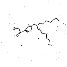 CCCCCCCCC(CCCCCC)Cc1cc(C(=O)C=O)cs1